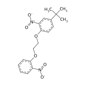 CC(C)(C)c1ccc(OCCOc2ccccc2[N+](=O)[O-])c([N+](=O)[O-])c1